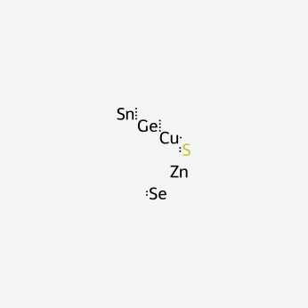 [Cu].[Ge].[S].[Se].[Sn].[Zn]